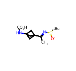 C/C(=N\[S@+]([O-])C(C)(C)C)C12CC(NC(=O)O)(C1)C2